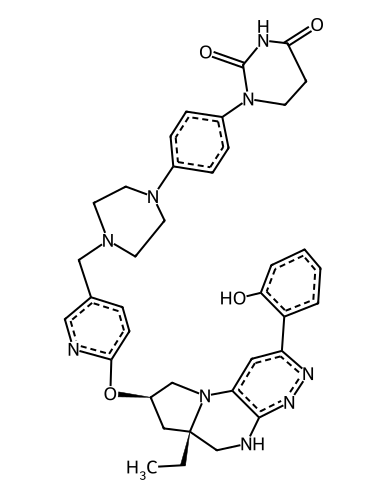 CC[C@]12CNc3nnc(-c4ccccc4O)cc3N1C[C@H](Oc1ccc(CN3CCN(c4ccc(N5CCC(=O)NC5=O)cc4)CC3)cn1)C2